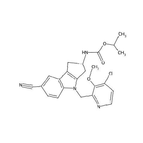 COc1c(Cl)ccnc1Cn1c2c(c3cc(C#N)ccc31)CC(NC(=O)OC(C)C)C2